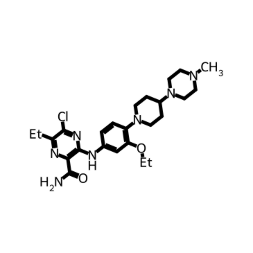 CCOc1cc(Nc2nc(Cl)c(CC)nc2C(N)=O)ccc1N1CCC(N2CCN(C)CC2)CC1